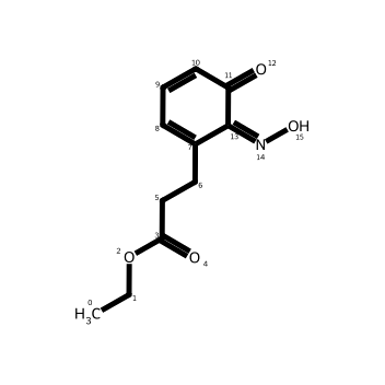 CCOC(=O)CCC1=CC=CC(=O)C1=NO